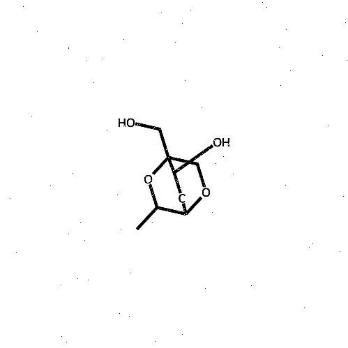 CC1OC2(CO)COC1CC2O